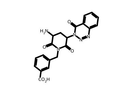 NC1CC(n2nnc3ccccc3c2=O)C(=O)N(Cc2cccc(C(=O)O)c2)C1=O